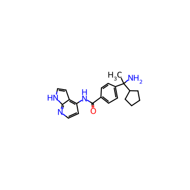 CC(N)(c1ccc(C(=O)Nc2ccnc3[nH]ccc23)cc1)C1CCCC1